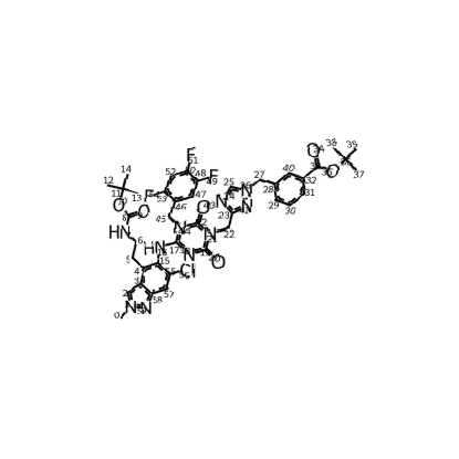 Cn1cc2c(CCNC(=O)OC(C)(C)C)c(Nc3nc(=O)n(Cc4ncn(Cc5cccc(C(=O)OC(C)(C)C)c5)n4)c(=O)n3Cc3cc(F)c(F)cc3F)c(Cl)cc2n1